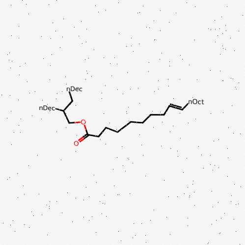 CCCCCCCCC=CCCCCCCCC(=O)OCC(CCCCCCCCCC)CCCCCCCCCCC